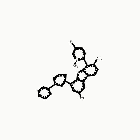 Cc1ccc2c(oc3c(-c4cccc(-c5ccccc5)c4)cc(C#N)cc32)c1-c1ccc(F)c[n+]1C